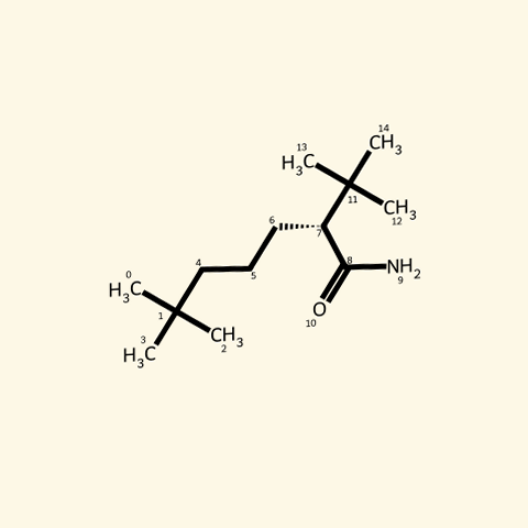 CC(C)(C)CCC[C@@H](C(N)=O)C(C)(C)C